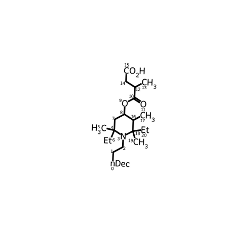 CCCCCCCCCCCCN1C(C)(CC)CC(OC(=O)C(C)CC(=O)O)C(C)C1(C)CC